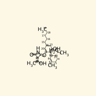 C=C(C)[C@@H]1CCC(C)=C[C@H]1c1c(O)cc(CCCCC)cc1OC1NC(=O)[C@@H]1[C@@H](C)O